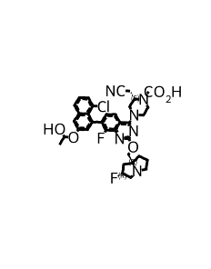 CC(O)Oc1cc(-c2ccc3c(N4CCN(C(=O)O)[C@@H](CC#N)C4)nc(OC[C@@]45CCCN4C[C@H](F)C5)nc3c2F)c2c(Cl)cccc2c1